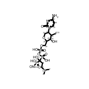 CN(C)CCC(O)(P(=O)(O)N=O)P(=O)(O)OP(=O)(O)OCC1OCC(n2ccc(N)nc2=O)C(F)[C@H]1O